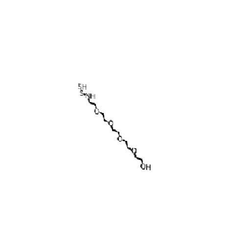 OCCOCCOCCOCCOCCNSS